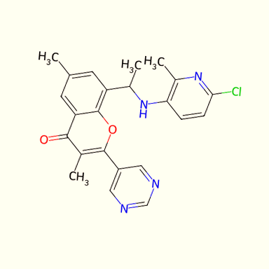 Cc1cc(C(C)Nc2ccc(Cl)nc2C)c2oc(-c3cncnc3)c(C)c(=O)c2c1